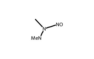 CNN(C)N=O